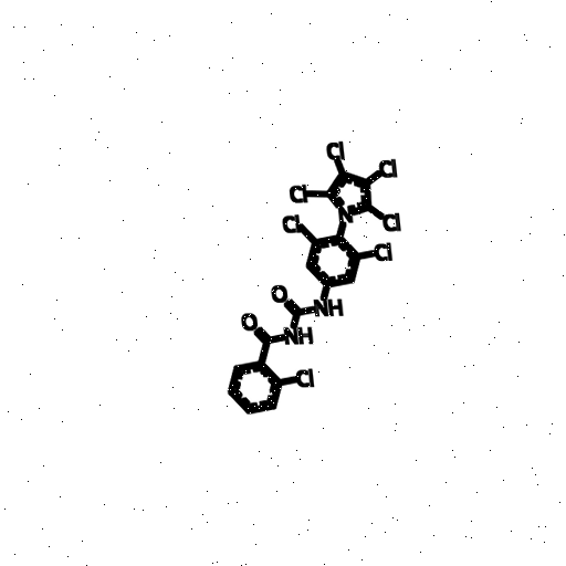 O=C(NC(=O)c1ccccc1Cl)Nc1cc(Cl)c(-n2c(Cl)c(Cl)c(Cl)c2Cl)c(Cl)c1